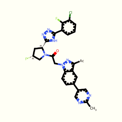 CC(=O)c1nn(CC(=O)N2C[C@H](F)C[C@@H]2c2nnc(-c3cccc(Cl)c3F)[nH]2)c2ccc(-c3cnc(C)nc3)cc12